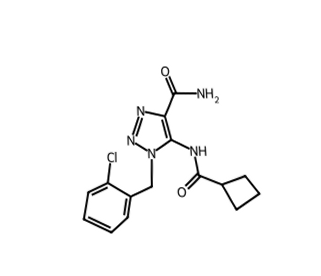 NC(=O)c1nnn(Cc2ccccc2Cl)c1NC(=O)C1CCC1